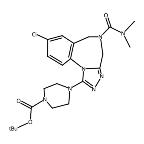 CN(C)C(=O)N1Cc2cc(Cl)ccc2-n2c(nnc2N2CCN(C(=O)OC(C)(C)C)CC2)C1